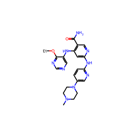 CCOc1ncncc1Nc1cc(Nc2ccc(N3CCN(C)CC3)cn2)ncc1C(N)=O